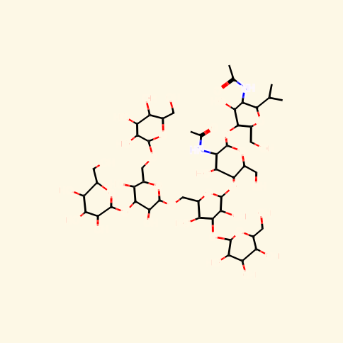 CC(=O)NC1C(OC2C(CO)OC(C(C)C)C(NC(C)=O)C2O)OC(CO)C(OC2OC(COC3OC(COC4OC(CO)C(O)C(O)C4O)C(O)C(OC4OC(CO)C(O)C(O)C4O)C3O)C(O)C(OC3OC(CO)C(O)C(O)C3O)C2O)C1O